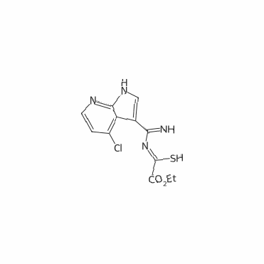 CCOC(=O)/C(S)=N/C(=N)c1c[nH]c2nccc(Cl)c12